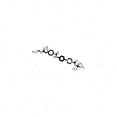 CCOC(=O)C[C@]1(O)CC[C@@H](C(=O)Nc2ccc(N3CCN(C(=O)OC(C)(C)C)CC3)cc2)CC1